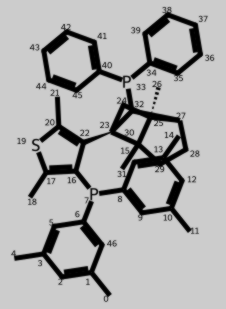 Cc1cc(C)cc(P(c2cc(C)cc(C)c2)c2c(C)sc(C)c2[C@]23C[C@@]4(C)C(CCC42C)C3P(c2ccccc2)c2ccccc2)c1